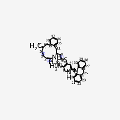 C=C1/C=C\C=C/NC(/C=C(\C)SC2=C(N)CNC(N3c4ccccc4Cc4ccccc43)=C2)Cc2ccccc2C1